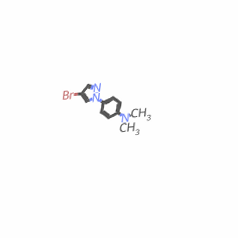 CN(C)c1ccc(-n2cc(Br)cn2)cc1